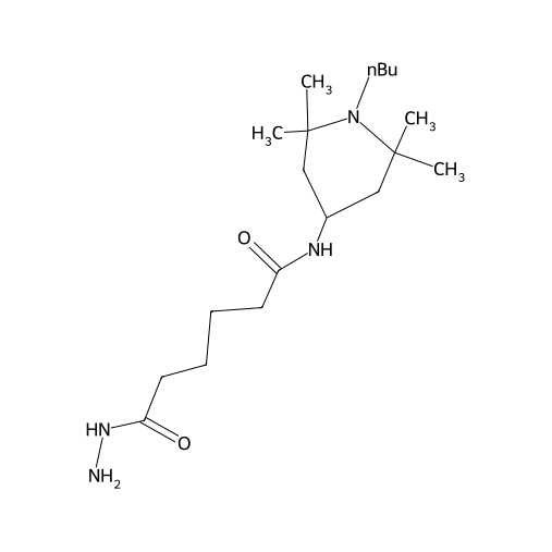 CCCCN1C(C)(C)CC(NC(=O)CCCCC(=O)NN)CC1(C)C